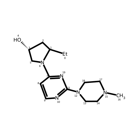 CCC1C[C@@H](O)CN1c1ccnc(N2CCN(C)CC2)n1